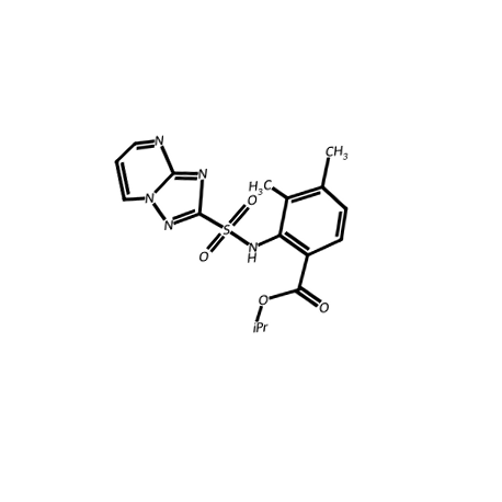 Cc1ccc(C(=O)OC(C)C)c(NS(=O)(=O)c2nc3ncccn3n2)c1C